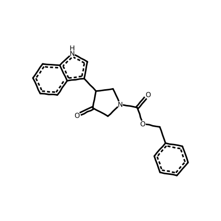 O=C1CN(C(=O)OCc2ccccc2)CC1c1c[nH]c2ccccc12